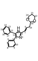 C(=C\c1nc(-c2ccccc2)c(-c2ccccc2)[nH]1)/CC1OCCCO1